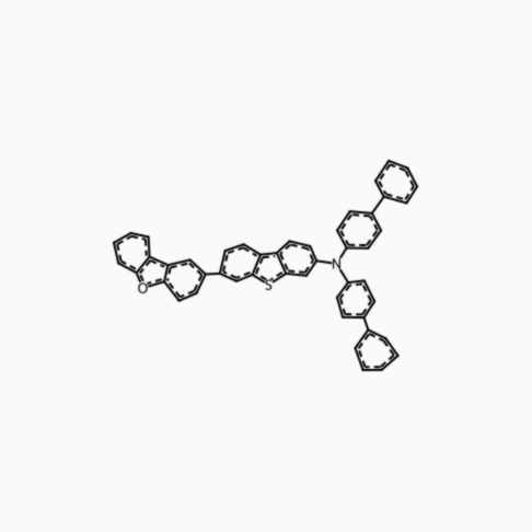 c1ccc(-c2ccc(N(c3ccc(-c4ccccc4)cc3)c3ccc4c(c3)sc3cc(-c5ccc6oc7ccccc7c6c5)ccc34)cc2)cc1